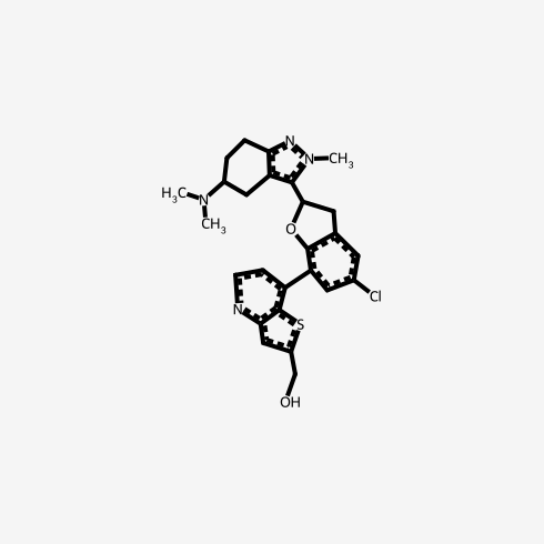 CN(C)C1CCc2nn(C)c(C3Cc4cc(Cl)cc(-c5ccnc6cc(CO)sc56)c4O3)c2C1